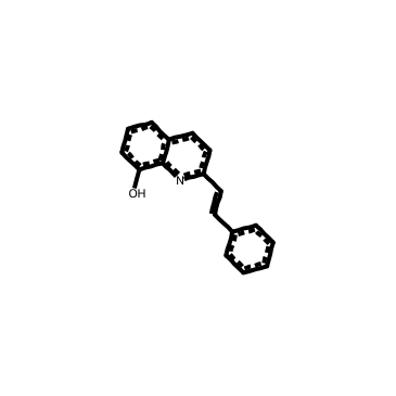 Oc1cccc2ccc(C=Cc3ccccc3)nc12